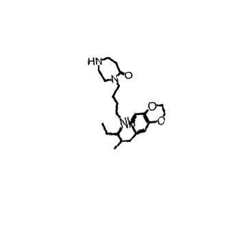 CCC(NCCCCN1CCNCCC1=O)C(C)Cc1ccc2c(c1)OCCO2